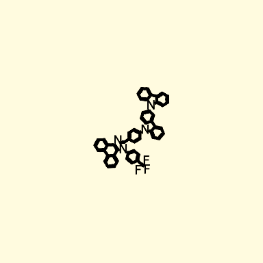 FC(F)(F)c1ccc(-n2c(-c3ccc(-n4c5ccccc5c5cc(-n6c7ccccc7c7ccccc76)ccc54)cc3)nc3c4ccccc4c4ccccc4c32)cc1